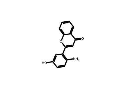 Nc1ccc(O)cc1-c1cc(=O)c2ccccc2o1